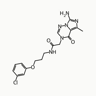 Cc1nc(N)n2ncn(CC(=O)NCCCOc3cccc(Cl)c3)c(=O)c12